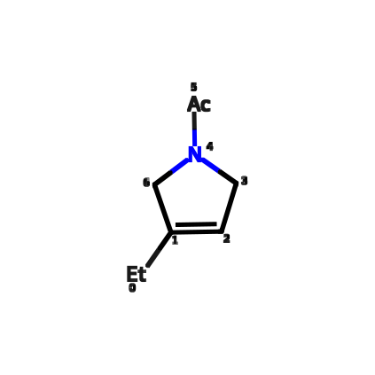 CCC1=CCN(C(C)=O)C1